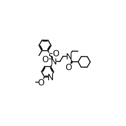 CCN(CCN(c1ccc(OC)nc1)S(=O)(=O)c1ccccc1C)C(=O)C1CCCCC1